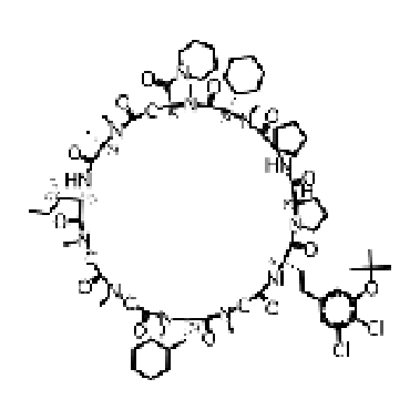 CC[C@H](C)[C@@H]1NC(=O)[C@H](C)N(C)C(=O)C[C@@H](C(=O)N2CCCCC2)N(C)C(=O)[C@H](C2CCCCC2)N(C)C(=O)C2(CCCC2)NC(=O)[C@@H]2CCCN2C(=O)[C@H](CCc2cc(Cl)c(Cl)c(OC(C)(C)C)c2)NC(=O)CN(C)C(=O)[C@H](CC2CCCCC2)N(C)C(=O)CN(C)C(=O)CN(C)C1=O